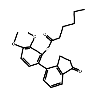 CCCCCC(=O)Oc1c(-c2cccc3c2CCC3=O)ccc(OC)c1OC